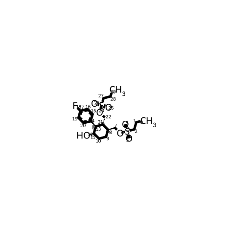 CCCS(=O)(=O)OC[C@H]1CC[C@H](O)[C@@H](c2ccc(F)cc2)[C@@H]1COS(=O)(=O)CCC